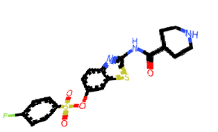 O=C(Nc1nc2ccc(OS(=O)(=O)c3ccc(F)cc3)cc2s1)C1CCNCC1